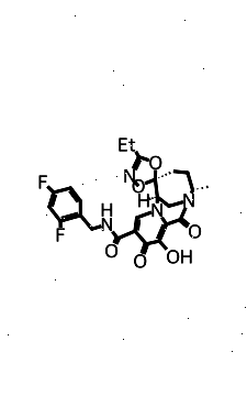 CCC1=NO[C@@]2(CC[C@H](C)N3C[C@H]2n2cc(C(=O)NCc4ccc(F)cc4F)c(=O)c(O)c2C3=O)O1